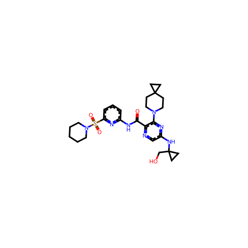 O=C(Nc1cccc(S(=O)(=O)N2CCCCC2)n1)c1ncc(NC2(CO)CC2)nc1N1CCC2(CC1)CC2